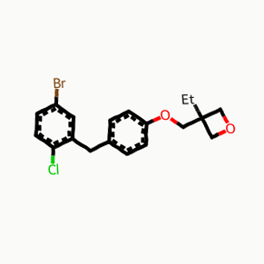 CCC1(COc2ccc(Cc3cc(Br)ccc3Cl)cc2)COC1